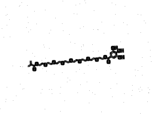 C=C(C)C(=O)OCCOCCOCCOCCOCCOCCOCCOCCOC(=O)c1cc(O)c(O)c(O)c1